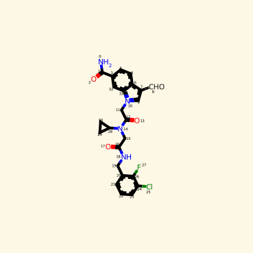 NC(=O)c1ccc2c(C=O)cn(CC(=O)N(CC(=O)NCc3cccc(Cl)c3F)C3CC3)c2c1